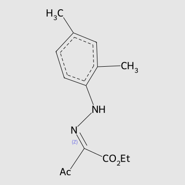 CCOC(=O)/C(=N\Nc1ccc(C)cc1C)C(C)=O